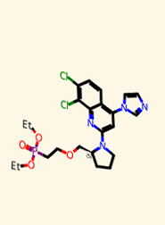 CCOP(=O)(CCOC[C@@H]1CCCN1c1cc(-n2ccnc2)c2ccc(Cl)c(Cl)c2n1)OCC